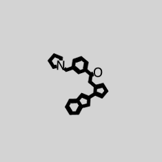 O=C(CC1=CCC=C1C1=Cc2ccccc2C1)c1cccc(CN2CCCC2)c1